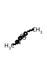 CCCCCC[C@H]1CC[C@H](C(=O)Oc2ccc(-c3ccc(CCC)cn3)cc2)CC1